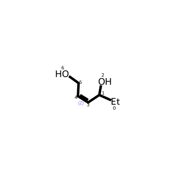 CCC(O)/C=C\CO